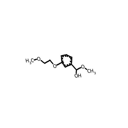 COCCOc1cccc(C(O)OC)c1